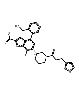 CCc1ccncc1-c1cc([C@H]2CCCN(C(=O)CCn3ccnn3)C2)c(F)c2[nH]c(C(=O)O)cc12